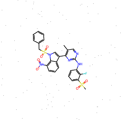 Cc1cnc(Nc2cccc(S(C)(=O)=O)c2F)nc1-c1cn(S(=O)(=O)Cc2ccccc2)c2c([N+](=O)[O-])cccc12